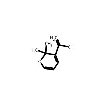 C=C(C)C1=CC=COC1(C)C